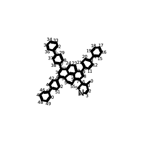 Cc1ccncc1-c1cc(-c2ccc(-c3ccccc3)cc2)c2ccc3c(-c4ccc(-c5ccccc5)cc4)cc(-c4ccc(-c5ccccc5)cc4)c4ccc1c2c34